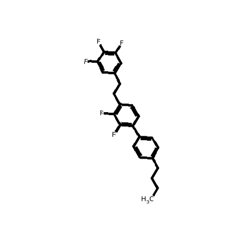 CCCCc1ccc(-c2ccc(CCc3cc(F)c(F)c(F)c3)c(F)c2F)cc1